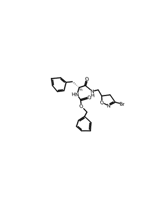 O=C(N[C@H](Cc1ccccc1)C(=O)NCC1CC(Br)=NO1)OCc1ccccc1